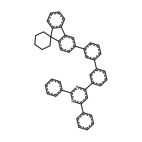 c1ccc(-c2cc(-c3cccc(-c4cccc(-c5ccc6c(c5)-c5ccccc5C65CCCCC5)c4)c3)nc(-c3ccccc3)n2)cc1